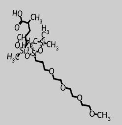 COCCOCCOCCOCCC[Si](C)(O[Si](C)(C)C)O[Si](C)(CCCC(C)C(=O)O)OC